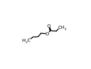 CCCCOC(=O)CC